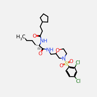 CCCC[C@H](NC(=O)CCC1CCCC1)C(=O)NCC1CN(S(=O)(=O)c2ccc(Cl)cc2Cl)CCO1